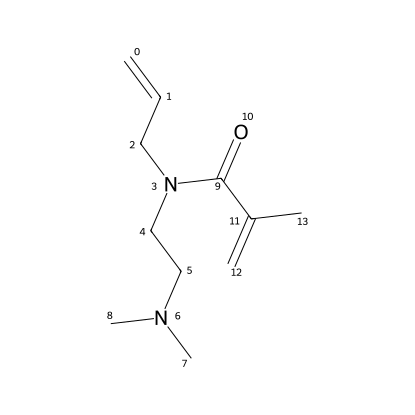 C=CCN(CCN(C)C)C(=O)C(=C)C